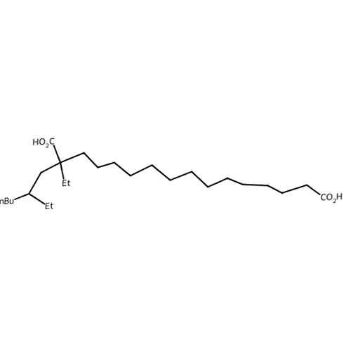 CCCCC(CC)CC(CC)(CCCCCCCCCCCCCC(=O)O)C(=O)O